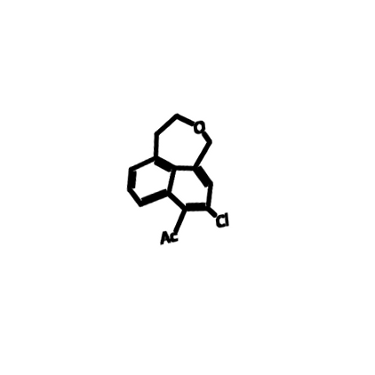 CC(=O)c1c(Cl)cc2c3c(cccc13)CCOC2